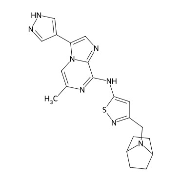 Cc1cn2c(-c3cn[nH]c3)cnc2c(Nc2cc(CN3C4CCC3CC4)ns2)n1